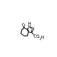 O=C(O)c1n[nH]c2c1CCCCC2=O